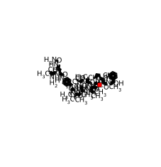 CC[C@H](C)[C@@H]([C@@H](CC(=O)N1CCC[C@H]1[C@H](OC)[C@@H](C)C(=O)N[C@H](C)[C@@H](O)c1ccccc1)OC)N(C)C(=O)[C@@H](NC(=O)[C@H](C(C)C)N(C)C(=O)C(NC(=O)[C@H](C(C)C)N(C)C(=O)OCc1ccc(NC(=O)[C@H](CCCNC(N)=O)NC(=O)[C@@H](N)C(C)C)cc1)C(C)C)C(C)C